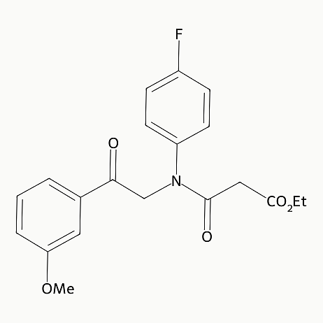 CCOC(=O)CC(=O)N(CC(=O)c1cccc(OC)c1)c1ccc(F)cc1